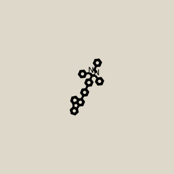 c1ccc(-c2nc(-c3ccccc3)c(-c3ccc(-c4ccc(-c5ccc6c7c(cccc57)-c5ccccc5-6)cc4)cc3)c(-c3ccccc3)n2)cc1